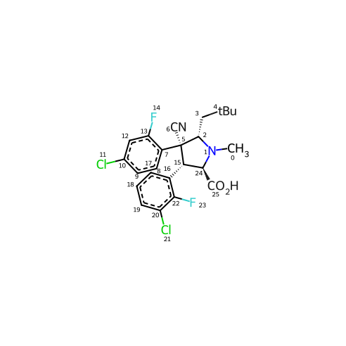 CN1[C@@H](CC(C)(C)C)[C@](C#N)(c2ccc(Cl)cc2F)[C@@H](c2cccc(Cl)c2F)[C@@H]1C(=O)O